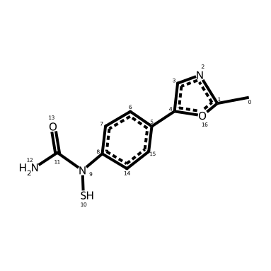 Cc1ncc(-c2ccc(N(S)C(N)=O)cc2)o1